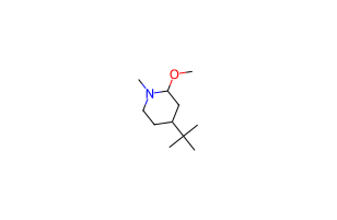 COC1CC(C(C)(C)C)CCN1C